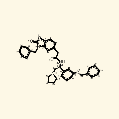 O=C(Cc1ccc2oc(=O)n(Cc3ccccc3)c2c1)N[C@H](CN1CCCC1)c1cccc(OCc2ccccc2)c1